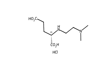 CN(C)CCN[C@@H](CCC(=O)O)C(=O)O.Cl